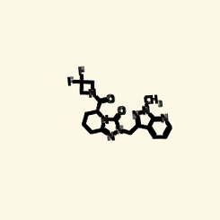 Cn1nc(Cn2nc3n(c2=O)[C@H](C(=O)N2CC(F)(F)C2)CCC3)c2cccnc21